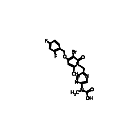 Cc1cc(OCc2ccc(F)cc2F)c(Br)c(=O)n1Cc1cnc(N(C)C(=O)O)cn1